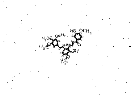 COc1ccc(C(=O)C=CNc2c(C=Cc3cc(OC)c(OC)c(OC)c3)ccc(OC)c2O)cc1O